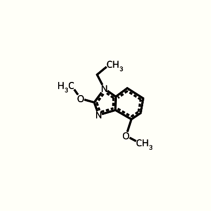 CCn1c(OC)nc2c(OC)cccc21